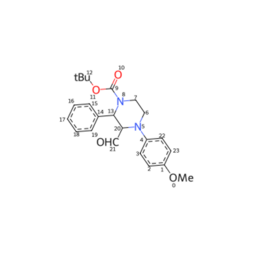 COc1ccc(N2CCN(C(=O)OC(C)(C)C)C(c3ccccc3)C2C=O)cc1